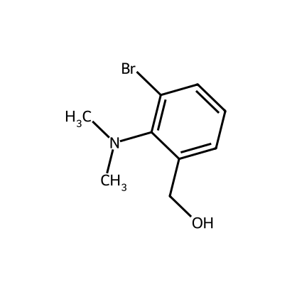 CN(C)c1c(Br)cccc1CO